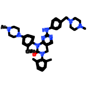 COc1cc(N2CCN(C(C)=O)CC2)ccc1N1C(=O)N(c2c(C)c#ccc2C)Cc2cnc(Nc3ccc(CN4CCN(C)CC4)cc3)nc21